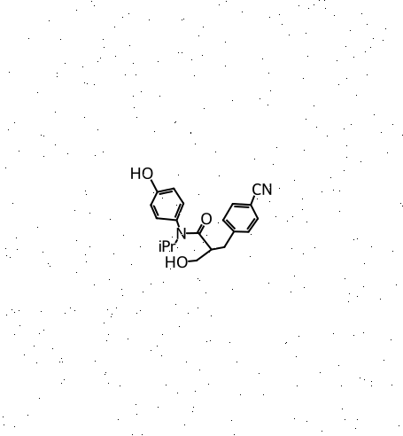 CC(C)N(C(=O)C(CO)Cc1ccc(C#N)cc1)c1ccc(O)cc1